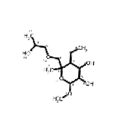 CCC1C(O)C(O)C(OC)OC1(C)COCC(C)O